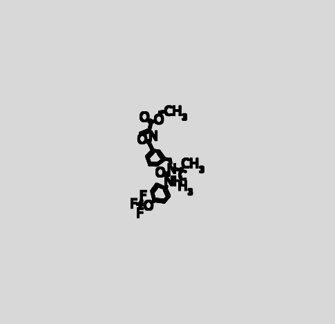 CCOC(=O)c1coc(-c2cccc(CN(C(=O)Nc3ccc(OC(F)(F)F)cc3)C(C)C)c2)n1